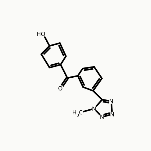 Cn1nnnc1-c1cccc(C(=O)c2ccc(O)cc2)c1